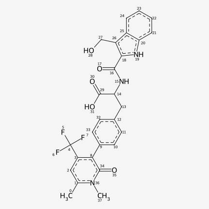 Cc1cc(C(F)(F)F)c(-c2ccc(CC(NC(=O)c3[nH]c4ccccc4c3CO)C(=O)O)cc2)c(=O)n1C